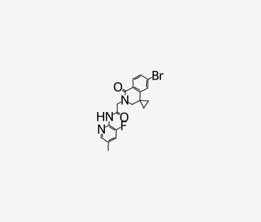 Cc1cnc(NC(=O)CN2CC3(CC3)c3cc(Br)ccc3C2=O)c(F)c1